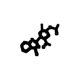 CC(=O)Oc1cc(C(C)=O)c(-c2nc3ccccc3c(=O)o2)cc1C